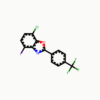 FC(F)(F)c1ccc(-c2nc3c(I)ccc(Cl)c3o2)cc1